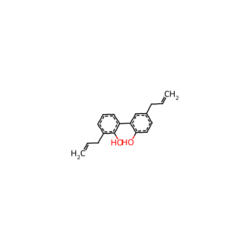 C=CCc1ccc(O)c(-c2cccc(CC=C)c2O)c1